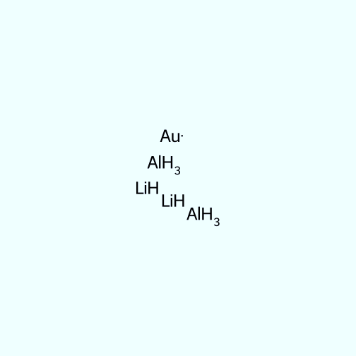 [AlH3].[AlH3].[Au].[LiH].[LiH]